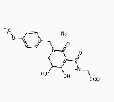 CC1CN(Cc2ccc(OC(F)(F)F)cc2)C(=O)C(C(=O)NCC(=O)[O-])=C1O.[Na+]